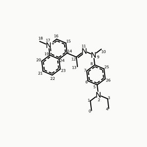 CCN(CC)c1ccc(N(C)/N=C(\C)c2cc[n+](C)c3ccccc23)cc1